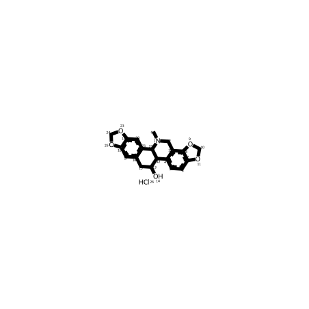 CN1Cc2c(ccc3c2OCO3)C2C(O)Cc3cc4c(cc3C21)OCO4.Cl